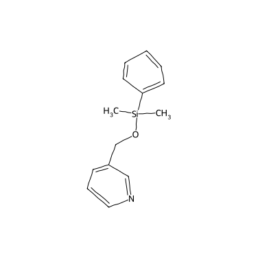 C[Si](C)(OCc1cccnc1)c1ccccc1